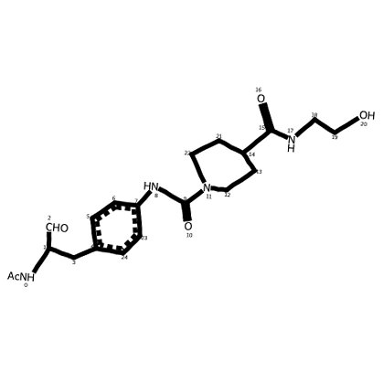 CC(=O)NC(C=O)Cc1ccc(NC(=O)N2CCC(C(=O)NCCO)CC2)cc1